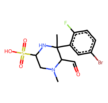 CN1CC(S(=O)(=O)O)NC(C)(c2cc(Br)ccc2F)C1C=O